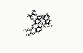 CCC(Oc1ccc(S(=O)(=O)c2c(C(C)C)cn3ncccc23)cc1)N(C)CCc1ccc(OC)c(OC)c1.O=C(O)C(=O)O